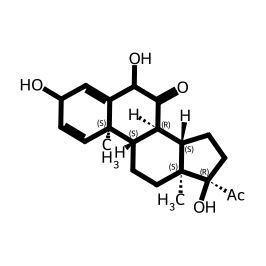 CC(=O)[C@@]1(O)CC[C@H]2[C@@H]3C(=O)C(O)C4=CC(O)C=C[C@]4(C)[C@H]3CC[C@@]21C